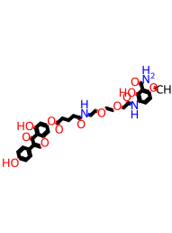 COc1ccc(NC(=O)COCCOCCNC(=O)CCCC(=O)Oc2cc(O)c3c(=O)c(-c4ccc(O)cc4)coc3c2)c(O)c1C(N)=O